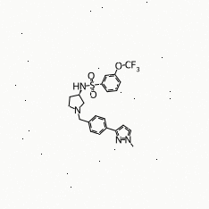 Cn1ccc(-c2ccc(CN3CC[C@@H](NS(=O)(=O)c4cccc(OC(F)(F)F)c4)C3)cc2)n1